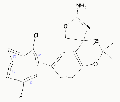 CC1(C)Oc2ccc(C3=C(Cl)/C=C/C=C/C(F)=C\3)cc2C2(COC(N)=N2)C12COC2